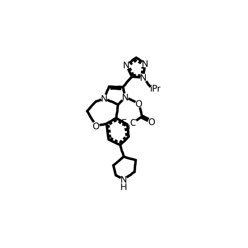 CC(C)n1ncnc1C1=CN2CCOc3cc(C4CCNCC4)ccc3C2N1OC(=O)C(F)(F)F